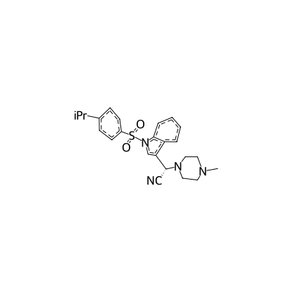 CC(C)c1ccc(S(=O)(=O)n2cc([C@@H](C#N)N3CCN(C)CC3)c3ccccc32)cc1